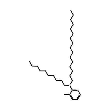 CCCCCCCCCCCCCCCCN(CCCCCCCCCC)c1ccccc1C